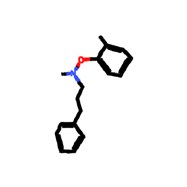 Cc1ccccc1ON(C)CCCc1ccccc1